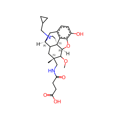 COC1[C@@H]2Oc3c(O)ccc4c3[C@@]23CCN(CC2CC2)[C@H](C4)C3C[C@@]1(C)CNC(=O)CCC(=O)O